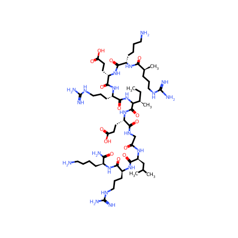 CC[C@H](C)C(NC(=O)[C@H](CCCNC(=N)N)NC(=O)[C@H](CCC(=O)O)NC(=O)[C@H](CCCCN)NC(=O)[C@@H](C)CCCNC(=N)N)C(=O)N[C@@H](CCC(=O)O)C(=O)NCC(=O)N[C@@H](CC(C)C)C(=O)N[C@@H](CCCNC(=N)N)C(=O)N[C@@H](CCCCN)C(N)=O